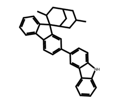 CC1CC2CC(C)C3(c4ccccc4-c4ccc(-c5ccc6[nH]c7ccccc7c6c5)cc43)C(C1)C2